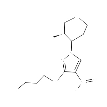 O=[N+]([O-])c1cn(C2CCOC[C@@H]2F)nc1OCCCO